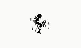 CN(CC1CC1)c1cc(N(C)S(C)(=O)=O)cc(-c2nnc([C@@](C)(N)Cc3ccccc3)o2)n1